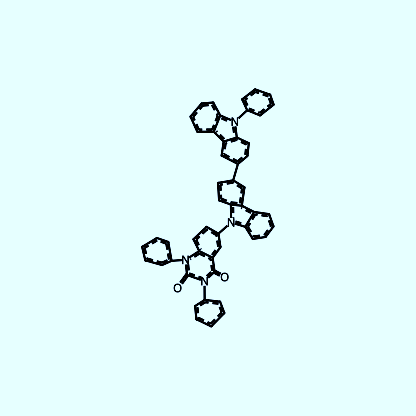 O=c1c2cc(-n3c4ccccc4c4cc(-c5ccc6c(c5)c5ccccc5n6-c5ccccc5)ccc43)ccc2n(-c2ccccc2)c(=O)n1-c1ccccc1